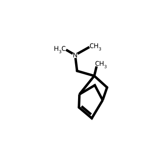 CN(C)CC1(C)CC2C=CC1C2